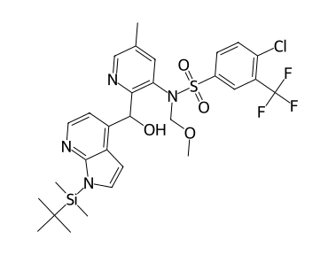 COCN(c1cc(C)cnc1C(O)c1ccnc2c1ccn2[Si](C)(C)C(C)(C)C)S(=O)(=O)c1ccc(Cl)c(C(F)(F)F)c1